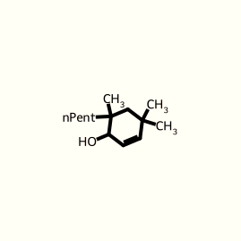 CCCCCC1(C)CC(C)(C)C=CC1O